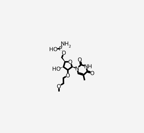 COCCOC1[C@H](n2cc(C)c(=O)[nH]c2=O)O[C@H](COP(N)O)[C@H]1O